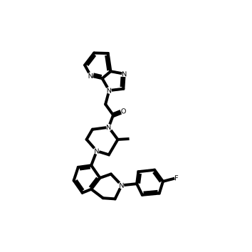 CC1CN(c2cccc3c2CN(c2ccc(F)cc2)CC3)CCN1C(=O)Cn1cnc2cccnc21